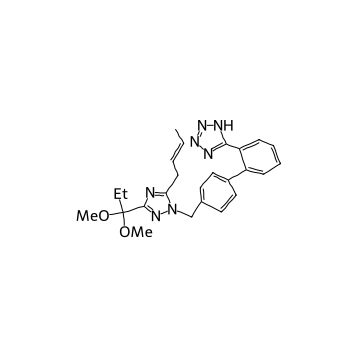 CC=CCc1nc(C(CC)(OC)OC)nn1Cc1ccc(-c2ccccc2-c2nnn[nH]2)cc1